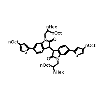 CCCCCCCCc1csc(-c2ccc3c(c2)N(CC(CCCCCC)CCCCCCCC)C(=O)C3C2C(=O)N(CC(CCCCCC)CCCCCCCC)c3cc(-c4cc(CCCCCCCC)cs4)ccc32)c1